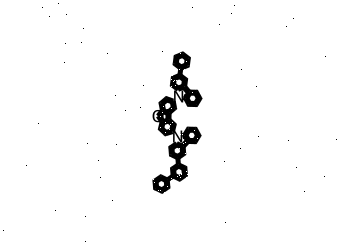 c1ccc(-c2cccc(-c3ccc4c(c3)c3ccccc3n4-c3ccc4oc5ccc(-n6c7ccccc7c7cc(-c8ccccc8)ccc76)cc5c4c3)c2)cc1